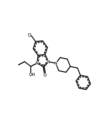 CCC(O)n1c(=O)n(N2CCC(Cc3ccccc3)CC2)c2ccc(Cl)cc21